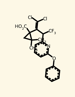 CC1(C)CC1(C(=O)O)C(=C(Cl)Cl)C(c1cccc(Oc2ccccc2)n1)C(F)(F)F